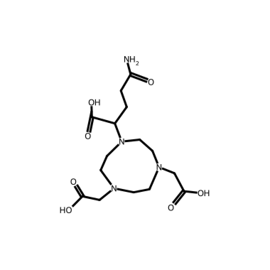 NC(=O)CCC(C(=O)O)N1CCN(CC(=O)O)CCN(CC(=O)O)CC1